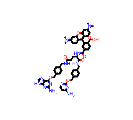 CN(C)c1ccc2c(-c3cc(C(=O)NC(CCC(=O)NCc4ccc(COc5nc(N)nc6[nH]cnc56)cc4)C(=O)NCc4ccc(COc5nccc(N)n5)cc4)ccc3C(=O)O)c3ccc(=[N+](C)C)cc-3oc2c1